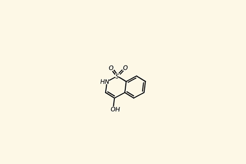 O=S1(=O)NC=C(O)c2ccccc21